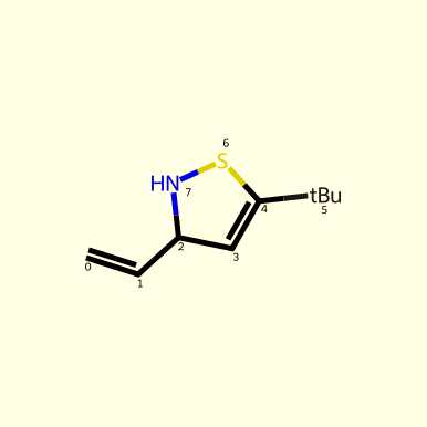 C=CC1C=C(C(C)(C)C)SN1